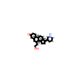 C[C@]12CCC(=O)CC1=CC(CCO)[C@@H]1[C@@H]2CC[C@]2(C)C(C3CCCNC3)=CC[C@@H]12